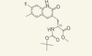 COC(=O)[C@H](Cc1cc2cc(C)c(F)cc2[nH]c1=O)NC(=O)OC(C)(C)C